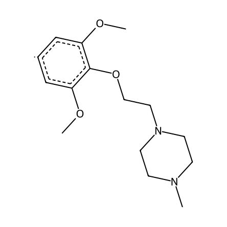 COc1c[c]cc(OC)c1OCCN1CCN(C)CC1